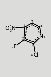 O=[N+]([O-])c1ccnc(Cl)c1F